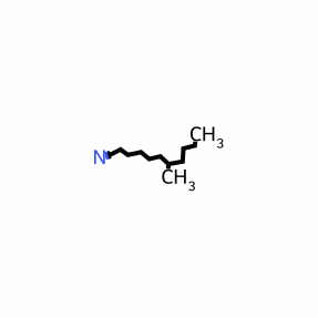 CCCCC(C)CCCCCC#N